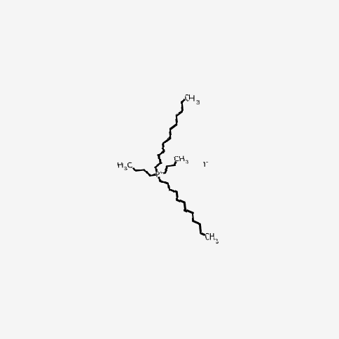 CCCCCCCCCCCC[P+](CCCC)(CCCC)CCCCCCCCCCCC.[I-]